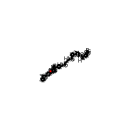 Cc1ccc(NC(=O)C2(c3ccc4c(c3)OC(F)(F)O4)CC2)nc1-c1cccc(C(=O)NCCCCC(=O)NCc2ccc(-c3c4ncn(CC5(O)CCN(C(=O)C[C@@H](C)c6ccccc6)CC5)c(=O)c4nn3C)cc2)c1